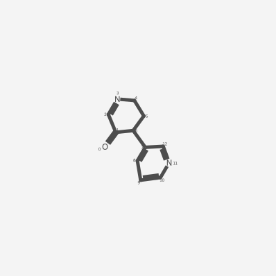 O=C1C=NCCC1c1cccnc1